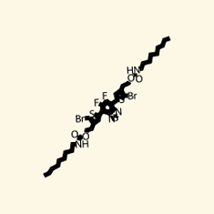 CCCCCCCCCNC(=O)OCCc1cc(-c2c(F)c(F)c(-c3cc(CCOC(=O)NCCCCCCCCC)c(Br)s3)c3nsnc23)sc1Br